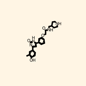 Cc1cc(-c2cc(-c3cccc(OCC(=O)NCC4CCNCC4)c3)[nH]c(=O)n2)ccc1O